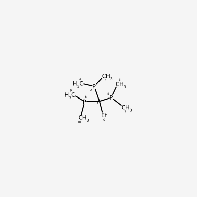 CCC(P(C)C)(P(C)C)P(C)C